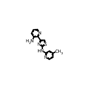 Cc1ccnc(Nc2nc(-c3ncccc3N)cs2)c1